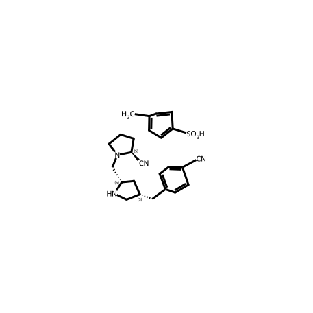 Cc1ccc(S(=O)(=O)O)cc1.N#Cc1ccc(C[C@@H]2CN[C@H](CN3CCC[C@H]3C#N)C2)cc1